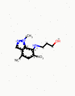 Cn1ncc2c(C#N)cc([N+](=O)[O-])c(NCCCO)c21